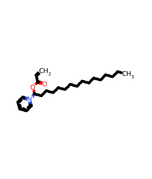 C=CC(=O)OC(CCCCCCCCCCCCCCC)[n+]1ccccc1